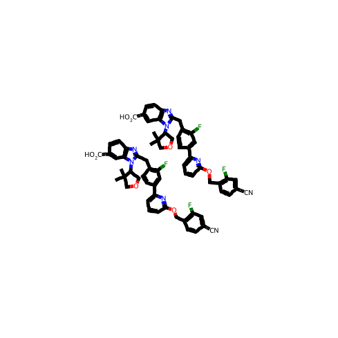 CC1(C)COCC1n1c(Cc2ccc(-c3cccc(OCc4ccc(C#N)cc4F)n3)cc2F)nc2ccc(C(=O)O)cc21.CC1(C)COCC1n1c(Cc2ccc(-c3cccc(OCc4ccc(C#N)cc4F)n3)cc2F)nc2ccc(C(=O)O)cc21